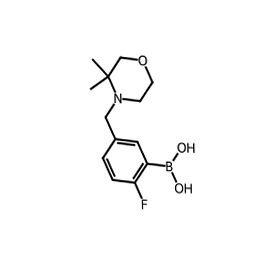 CC1(C)COCCN1Cc1ccc(F)c(B(O)O)c1